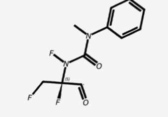 CN(C(=O)N(F)[C@](F)([C]=O)CF)c1ccccc1